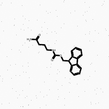 NC(=O)CCCNC(=O)OCC1c2ccccc2-c2ccccc21